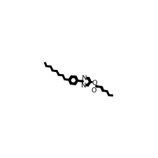 CCC/C=C/C(=O)Oc1cnc(-c2ccc(CCCCCCCC)cc2)nc1